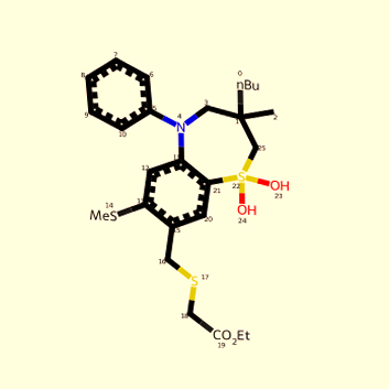 CCCCC1(C)CN(c2ccccc2)c2cc(SC)c(CSCC(=O)OCC)cc2S(O)(O)C1